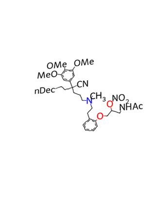 CCCCCCCCCCCCC(C#N)(CCCN(C)CCc1ccccc1OCC(CNC(C)=O)O[N+](=O)[O-])c1cc(OC)c(OC)c(OC)c1